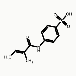 C/C=C(\C)C(=O)Nc1ccc(S(=O)(=O)O)cc1